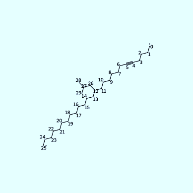 [CH2]CCCC#CCCCCCCC(CCCCCCCCCCCC[CH2])CC(C)C